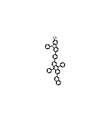 N#Cc1ccc2c3ccc(-c4ccc(-c5ccc6c(-c7ccccc7)c7cc(-c8ccc9ccccc9c8)ccc7c(-c7ccccc7)c6c5)cc4)cc3n(-c3ccccc3)c2c1